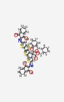 O=C(OCc1ccccc1)C1(C(=O)OCc2ccccc2)c2cc(N=c3c(=O)c4ccccc4c3=O)sc2-c2sc3c(sc4cc(N=c5c(=O)c6ccccc6c5=O)sc43)c21